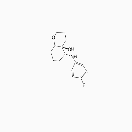 O[C@]12CCCOC1CCCC2Nc1ccc(F)cc1